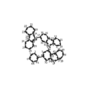 c1ccc(-c2cc(-n3c4ccccc4c4ccc(-n5c6ccccc6c6ccccc65)cc43)c3c(c2)sc2ccccc23)cc1